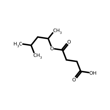 CC(C)CC(C)OC(=O)CCC(=O)O